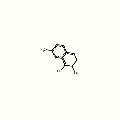 Cc1ccc2c(n1)=C(O)C(C)CC=2